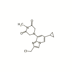 CN1C(=O)CN(c2cc(C3CC3)cn3cc(CCl)nc23)CC1=O